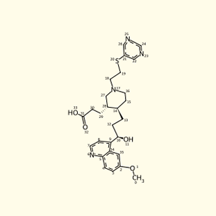 COc1ccc2nccc([C@H](O)CC[C@@H]3CCN(CCSc4cncnc4)C[C@H]3CCC(=O)O)c2c1